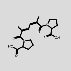 CC(=CC=C(C)C(=O)N1CCCC1C(=O)O)C(=O)N1CCCC1C(=O)O